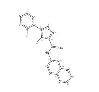 Cc1ccccc1-n1nnc(C(=O)Nc2ccc3ccccc3n2)c1C